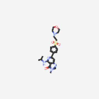 CC(C)Nc1nc(-c2ccc(S(=O)(=O)CCN3CCOCC3)cc2)cc2ncn(C)c(=O)c12